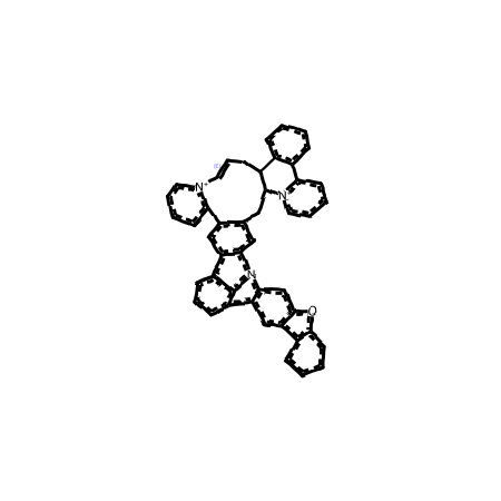 C1=C/[n+]2ccccc2-c2cc3c4cccc5c6cc7c(cc6n(c3cc2CC2C(C/1)c1ccccc1-c1cccc[n+]12)c45)oc1ccccc17